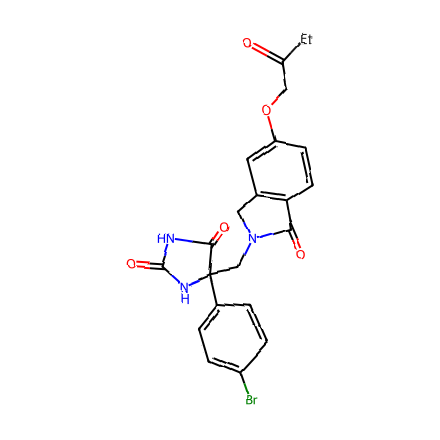 CCC(=O)COc1ccc2c(c1)CN(CC1(c3ccc(Br)cc3)NC(=O)NC1=O)C2=O